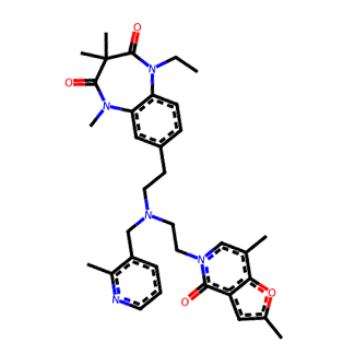 CCN1C(=O)C(C)(C)C(=O)N(C)c2cc(CCN(CCn3cc(C)c4oc(C)cc4c3=O)Cc3cccnc3C)ccc21